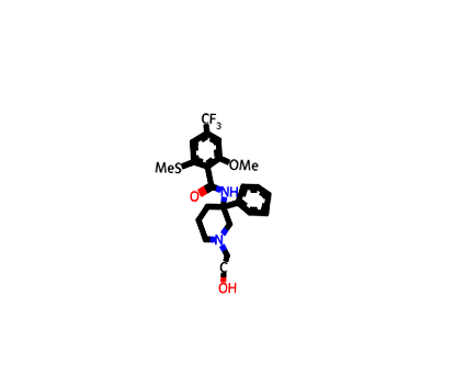 COc1cc(C(F)(F)F)cc(SC)c1C(=O)NC1(c2ccccc2)CCCN(CCO)C1